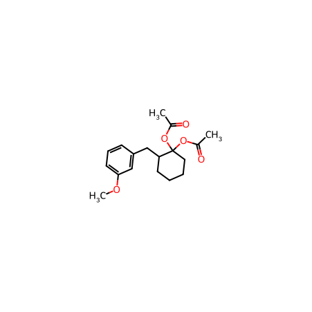 COc1cccc(CC2CCCCC2(OC(C)=O)OC(C)=O)c1